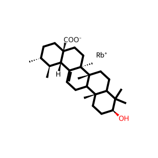 C[C@H]1[C@H](C)CC[C@]2(C(=O)[O-])CC[C@]3(C)C(=CCC4[C@@]5(C)CC[C@H](O)C(C)(C)C5CC[C@]43C)[C@H]12.[Rb+]